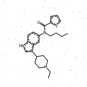 CCCCN(C(=O)c1cccs1)c1ccc2[nH]cc(C3CCN(CC)CC3)c2c1